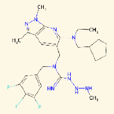 CCN(CC1CCCC1)c1nc2c(cc1CN(Cc1cc(F)c(F)c(F)c1)C(=N)NNNC)c(C)nn2C